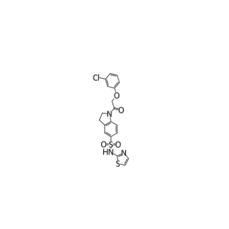 O=C(COc1cccc(Cl)c1)N1CCc2cc(S(=O)(=O)Nc3nccs3)ccc21